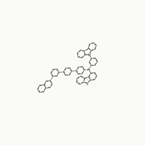 c1cc(-c2ccc(-c3ccc(N(c4cccc(-n5c6ccccc6c6ccccc65)c4)c4cccc5sc6ccccc6c45)cc3)cc2)cc(-c2ccc3ccccc3c2)c1